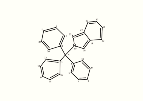 c1ccc(C(c2ccccc2)(c2ccccc2)n2cc3ccccc3n2)cc1